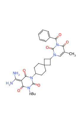 CCCCN1C(=O)C(=C(N)N)C(=O)N(C2CCC3(CC2)CC(n2cc(C)c(=O)n(C(=O)c4ccccc4)c2=O)C3)C1=O